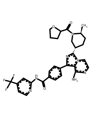 C[C@H]1CC[C@H](c2nc(-c3ccc(C(=O)Nc4cc(C(F)(F)F)ccn4)cc3)c3c(N)nccn23)CN1C(=O)C1CCCO1